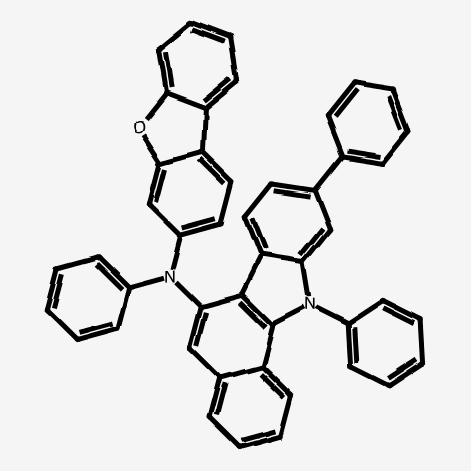 c1ccc(-c2ccc3c4c(N(c5ccccc5)c5ccc6c(c5)oc5ccccc56)cc5ccccc5c4n(-c4ccccc4)c3c2)cc1